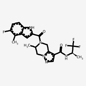 Cc1c(F)ccc2[nH]c(C(=O)N3Cc4c(C(=O)N[C@H](C)C(F)(F)F)cnn4CC3C)cc12